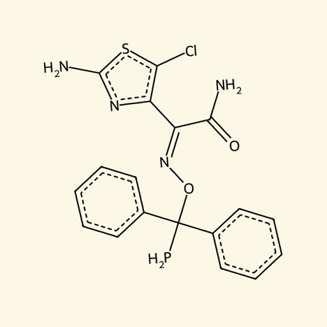 NC(=O)/C(=N\OC(P)(c1ccccc1)c1ccccc1)c1nc(N)sc1Cl